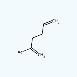 C=CCCC(=C)C(C)=O